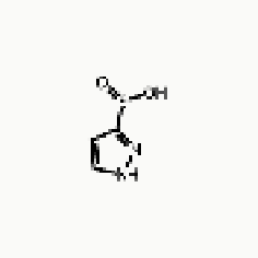 O=S(O)c1cc[nH]n1